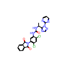 CC(NC(=O)Nc1cc(N2C(=O)c3ccccc3C2=O)c(Cl)cc1Cl)c1ncnn1-c1ncccn1